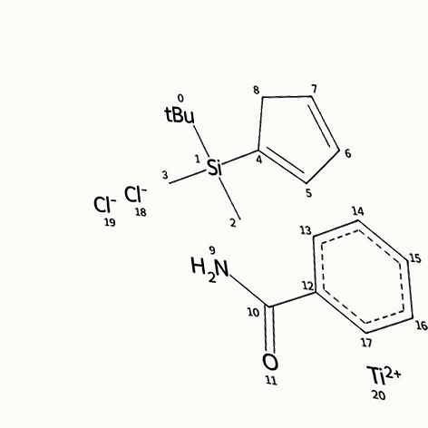 CC(C)(C)[Si](C)(C)C1=CC=CC1.NC(=O)c1ccccc1.[Cl-].[Cl-].[Ti+2]